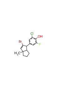 CC12C=C(Br)C(c3cc(F)c(O)c(Cl)c3)C1CCC2